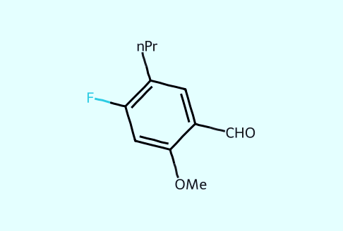 CCCc1cc(C=O)c(OC)cc1F